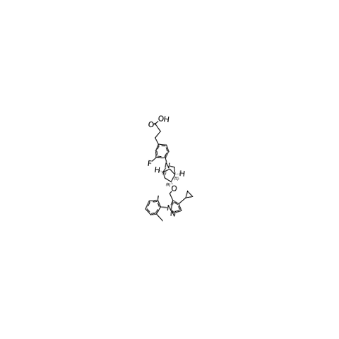 Cc1cccc(C)c1-n1ncc(C2CC2)c1CO[C@@H]1C[C@@H]2C[C@H]1CN2c1ccc(CCC(=O)O)cc1F